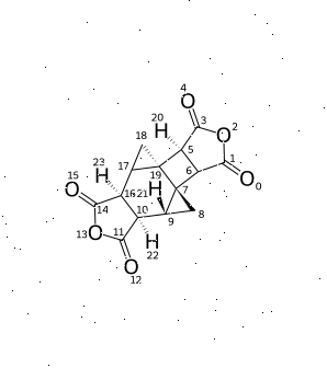 O=C1OC(=O)[C@H]2C1[C@]13C[C@@H]1[C@H]1C(=O)OC(=O)[C@H]1C1C[C@]123